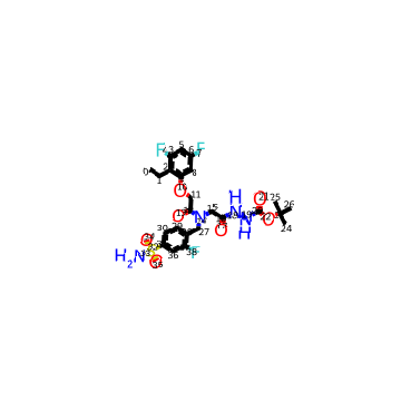 CCc1c(F)cc(F)cc1OCC(=O)N(CC(=O)NNC(=O)OC(C)(C)C)Cc1ccc(S(N)(=O)=O)cc1F